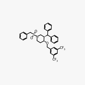 O=S(=O)(Cc1ccccc1)N1CC[C@H](OCc2cc(C(F)(F)F)cc(C(F)(F)F)c2)[C@H](C(c2ccccc2)c2ccccc2)C1